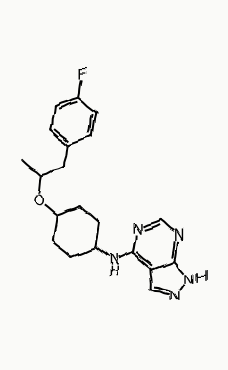 CC(Cc1ccc(F)cc1)OC1CCC(Nc2ncnc3[nH]ncc23)CC1